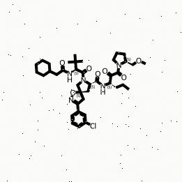 CCC[C@H](NC(=O)[C@@H]1C[C@]2(CC(c3cccc(Cl)c3)=NO2)CN1C(=O)[C@@H](NC(=O)CC1CCCCC1)C(C)(C)C)C(=O)C(=O)N1CCC[C@H]1COC